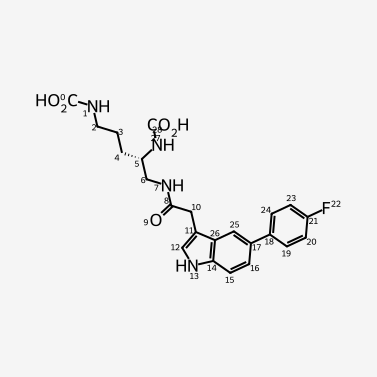 O=C(O)NCCC[C@@H](CNC(=O)Cc1c[nH]c2ccc(-c3ccc(F)cc3)cc12)NC(=O)O